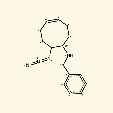 [N-]=[N+]=NC1CCC=CCCC1NCc1ccccc1